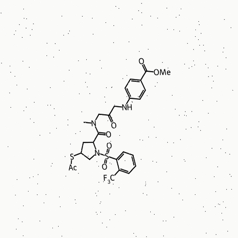 COC(=O)c1ccc(NCC(=O)CN(C)C(=O)C2CC(SC(C)=O)CN2S(=O)(=O)c2ccccc2C(F)(F)F)cc1